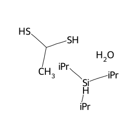 CC(C)[SiH](C(C)C)C(C)C.CC(S)S.O